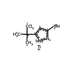 CC(C)(C)c1cc(C(C)(C)C(Cl)(Cl)Cl)[nH]n1.[Ti]